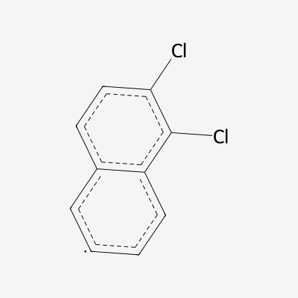 Clc1ccc2c[c]ccc2c1Cl